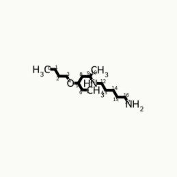 CCCCOC(CC)CC(C)NCCCCCN